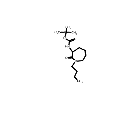 CCCCN1CCCCC(NC(=O)OC(C)(C)C)C1=O